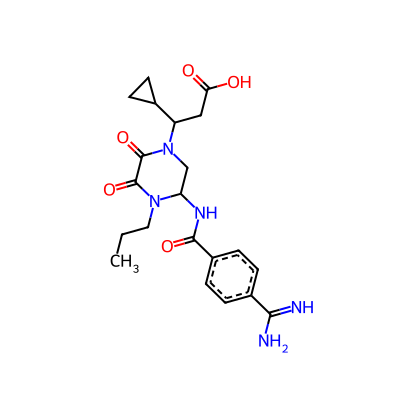 CCCN1C(=O)C(=O)N(C(CC(=O)O)C2CC2)CC1NC(=O)c1ccc(C(=N)N)cc1